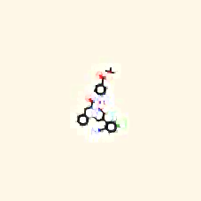 CC(C)(C)OC(=O)c1ccc(NC(=O)C(Cc2ccccc2)N2CCC(c3c(C#N)ccc(Cl)c3F)=CC2=O)cc1